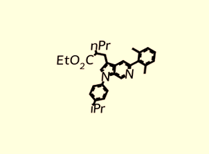 CCCC(Cc1cn(-c2ccc(C(C)C)cc2)c2cnc(-c3c(C)cccc3C)cc12)C(=O)OCC